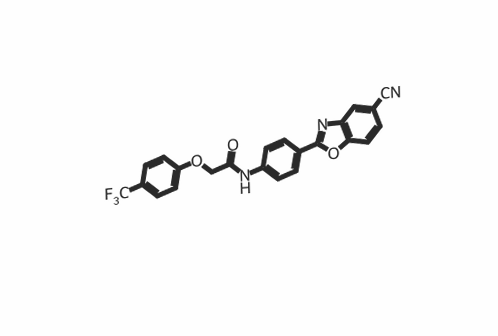 N#Cc1ccc2oc(-c3ccc(NC(=O)COc4ccc(C(F)(F)F)cc4)cc3)nc2c1